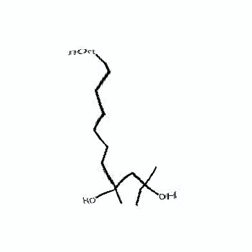 CCCCCCCCCCCCCCC(C)(O)CC(C)(C)O